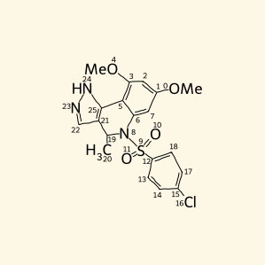 COc1cc(OC)c2c(c1)N(S(=O)(=O)c1ccc(Cl)cc1)C(C)c1cn[nH]c1-2